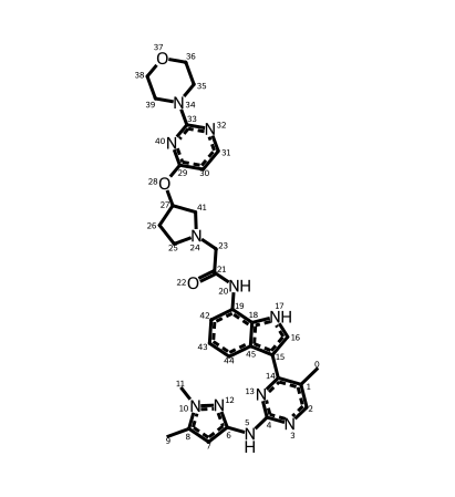 Cc1cnc(Nc2cc(C)n(C)n2)nc1-c1c[nH]c2c(NC(=O)CN3CCC(Oc4ccnc(N5CCOCC5)n4)C3)cccc12